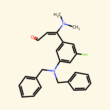 CN(C)/C(=C/C=O)c1cc(F)cc(N(Cc2ccccc2)Cc2ccccc2)c1